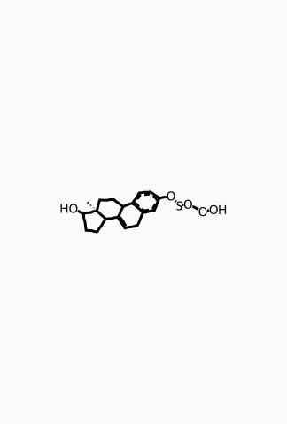 C[C@]12CCC3C(=CCc4cc(OSOOO)ccc43)C1CCC2O